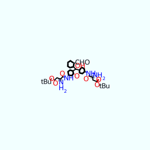 CC(C)(C)OC(=O)C[C@H](N)C(=O)Nc1ccc2c(c1)Oc1cc(NC(=O)[C@@H](N)CC(=O)OC(C)(C)C)ccc1C2(O)c1ccccc1C=O